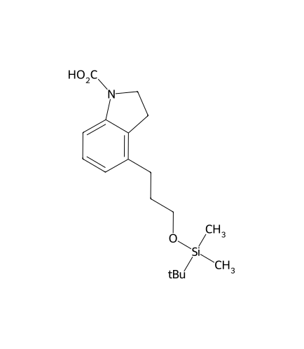 CC(C)(C)[Si](C)(C)OCCCc1cccc2c1CCN2C(=O)O